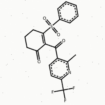 Cc1nc(C(F)(F)F)ccc1C(=O)C1=C(S(=O)(=O)c2ccccc2)CCCC1=O